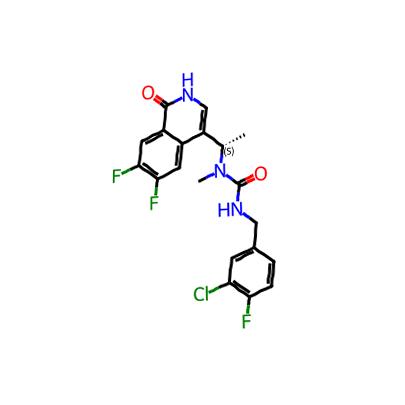 C[C@@H](c1c[nH]c(=O)c2cc(F)c(F)cc12)N(C)C(=O)NCc1ccc(F)c(Cl)c1